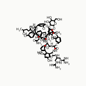 CC(C)CCC(=O)N[C@H]1C(=O)N[C@@H](CC(N)=O)C(=O)N[C@H]2C(=O)N[C@H]3C(=O)N[C@@H](Cc4ccc(c(Cl)c4)Oc4cc2cc(c4O[C@H]2OC(CO)C(O)C(O)[C@H]2O[C@H]2CC(C)(NCc4ccc(-c5ccc(Cl)cc5)cc4)C(O)[C@H](C)O2)Oc2ccc(cc2Cl)[C@H]1O)C(=O)N[C@H](C(=O)NC(CNC(=N)N)CNC(=N)N)c1cc(O)cc(O)c1-c1cc3ccc1O